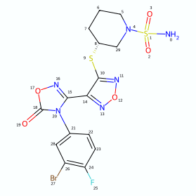 NS(=O)(=O)N1CCC[C@@H](Sc2nonc2-c2noc(=O)n2-c2ccc(F)c(Br)c2)C1